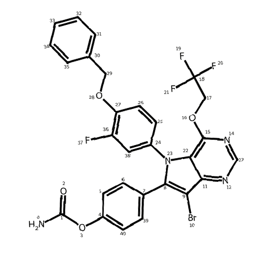 NC(=O)Oc1ccc(-c2c(Br)c3ncnc(OCC(F)(F)F)c3n2-c2ccc(OCc3ccccc3)c(F)c2)cc1